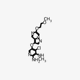 CNc1c(N)ncc(Oc2cnn3cc(OCCOC)ncc23)c1Cl